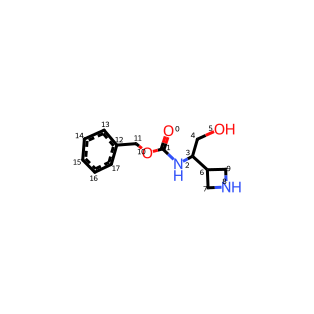 O=C(NC(CO)C1CNC1)OCc1ccccc1